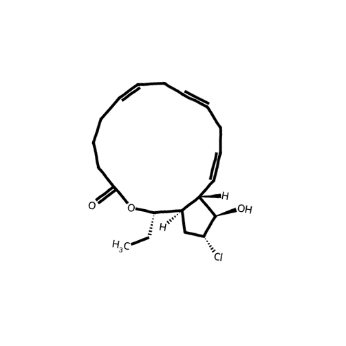 CC[C@@H]1OC(=O)CCC/C=C\C/C=C\C/C=C\[C@@H]2[C@@H](O)[C@H](Cl)C[C@H]21